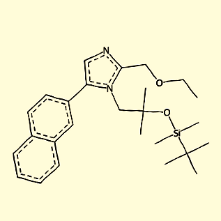 CCOCc1ncc(-c2ccc3ccccc3c2)n1CC(C)(C)O[Si](C)(C)C(C)(C)C